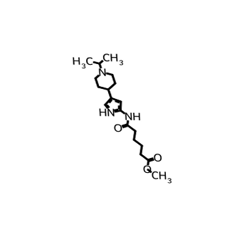 COC(=O)CCCCC(=O)Nc1cc(C2CCN(C(C)C)CC2)c[nH]1